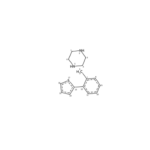 C1CNCCN1.Cc1ccccc1-c1cccs1